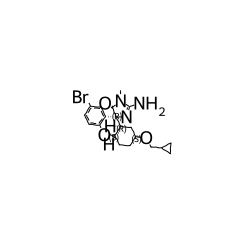 CN1C(=O)[C@]2(N=C1N)c1cc(Br)ccc1O[C@H]1CC[C@H](OCC3CC3)C[C@@H]12